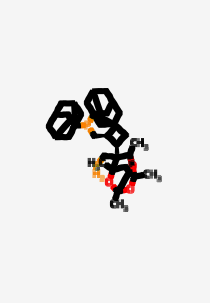 CC12CC3(C)OC(C)(CC(C)(O1)C3(CP)[C@@H]1CC[C@@H]1CP(C13CC4CC(CC(C4)C1)C3)C13CC4CC(CC(C4)C1)C3)O2